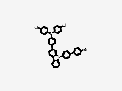 Clc1ccc(N(c2ccc(Cl)cc2)c2ccc(-c3ccc4c5ccccc5n(-c5ccc(-c6ccc(Br)cc6)cc5)c4c3)cc2)cc1